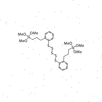 CO[Si](CCCc1ccccc1SSSSSc1ccccc1CCC[Si](OC)(OC)OC)(OC)OC